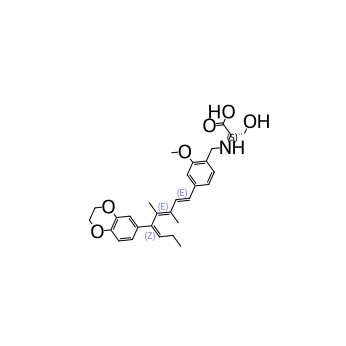 CC\C=C(/C(C)=C(C)/C=C/c1ccc(CN[C@@H](CO)C(=O)O)c(OC)c1)c1ccc2c(c1)OCCO2